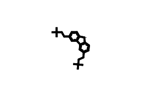 CC(C)(C)CCc1ccc2c(c1)-c1cc(CCC(C)(C)C)ccc1[CH]2